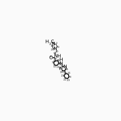 CN1CCN(CCNC(=O)c2cccc(Nc3ncc(-c4ccccc4)cn3)c2)CC1